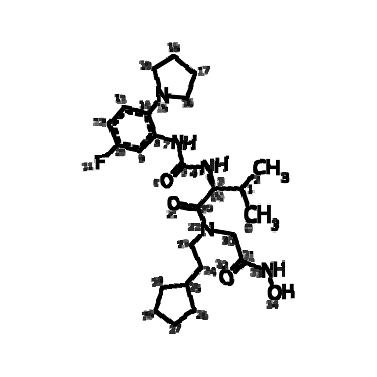 CC(C)[C@H](NC(=O)Nc1cc(F)ccc1N1CCCC1)C(=O)N(CCC1CCCC1)CC(=O)NO